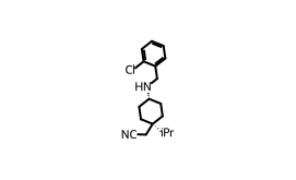 CC(C)[C@]1(CC#N)CC[C@H](NCc2ccccc2Cl)CC1